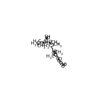 Cc1cc(COC(=O)Oc2ccc([N+](=O)[O-])cc2)cc(C)c1OC(=O)CCCC(C)CC(C)C(C)CC(=O)OC(COC(=O)CS)COC(=O)CC(C)CC(C)C